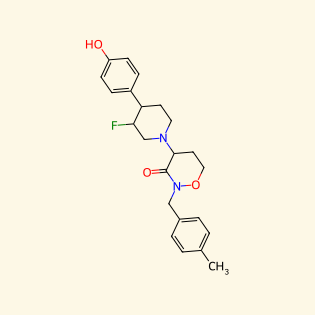 Cc1ccc(CN2OCCC(N3CCC(c4ccc(O)cc4)C(F)C3)C2=O)cc1